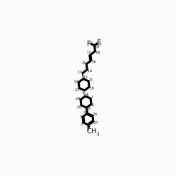 Cc1ccc(C2CCC([C@H]3CC[C@H](CCC/C=C/CC(F)F)CC3)CC2)cc1